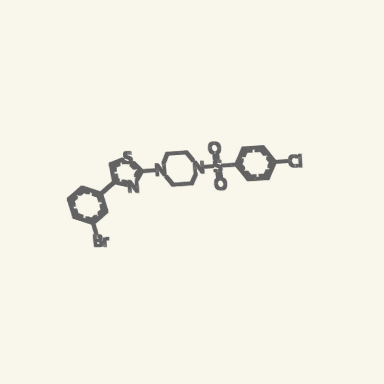 O=S(=O)(c1ccc(Cl)cc1)N1CCN(c2nc(-c3cccc(Br)c3)cs2)CC1